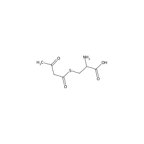 CC(=O)CC(=O)SCC(N)C(=O)O